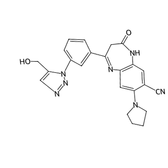 N#Cc1cc2c(cc1N1CCCC1)N=C(c1cccc(-n3nncc3CO)c1)CC(=O)N2